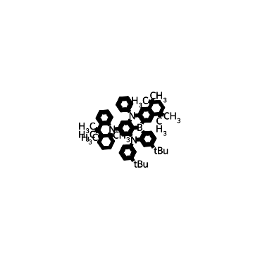 CC(C)(C)c1cccc(N2c3cc(C(C)(C)C)ccc3B3c4cc5c(cc4N(c4ccccc4)c4cc(N6c7ccccc7C(C)(C)C7(C)CCCCC67C)cc2c43)C(C)(C)CCC5(C)C)c1